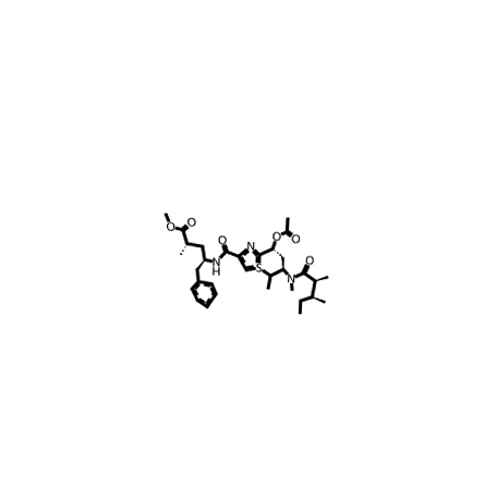 CC[C@H](C)[C@H](C)C(=O)N(C)[C@H](C[C@@H](OC(C)=O)c1nc(C(=O)N[C@@H](Cc2ccccc2)C[C@H](C)C(=O)OC)cs1)C(C)C